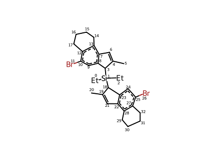 CC[Si](CC)(C1C(C)=Cc2c1cc(Br)c1c2CCCC1)C1C(C)=Cc2c1cc(Br)c1c2CCCC1